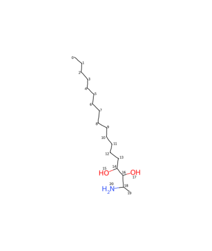 CCCCCCCCCCCCCCC(O)C(O)C(C)N